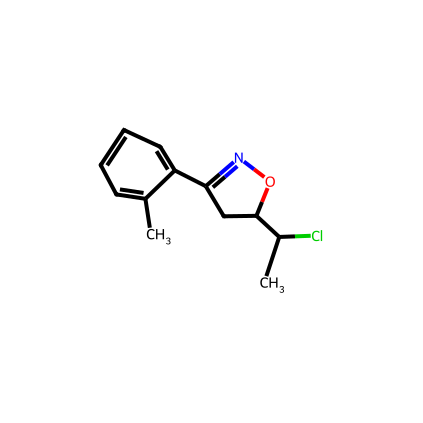 Cc1ccccc1C1=NOC(C(C)Cl)C1